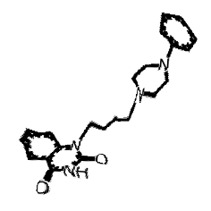 O=c1[nH]c(=O)n(CCCCN2CCN(c3ccccc3)CC2)c2ccccc12